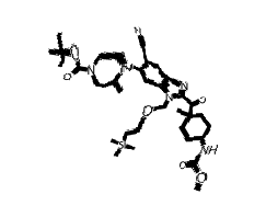 COC(=O)NC1CCC(C)(C(=O)c2nc3cc(C#N)c(N4CCN(C(=O)OC(C)(C)C)CC4C)cc3n2COCC[Si](C)(C)C)CC1